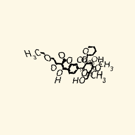 CCOCC(=O)c1c(O)c2ccc([C@@H]3O[C@](C)(CO)[C@H](OC)[C@H](O)[C@H]3OC3CCCCO3)c(C)c2oc1=O